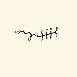 O=C(CCCS)OCC(F)(F)C(F)(F)C(F)(F)C(F)F